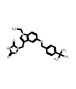 CCn1cc(Cn2oc(=O)[nH]c2=O)c2cc(OCc3ccc(C(C)(C)C)cc3)ccc21